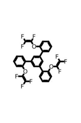 FC(F)=C(F)Oc1ccccc1-c1cc(-c2ccccc2OC(F)=C(F)F)cc(-c2ccccc2OC(F)=C(F)F)c1